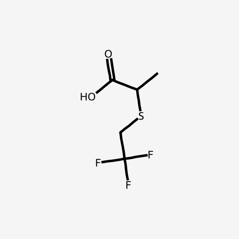 CC(SCC(F)(F)F)C(=O)O